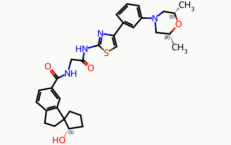 C[C@@H]1CN(c2cccc(-c3csc(NC(=O)CNC(=O)c4ccc5c(c4)C4(CCC[C@@H]4O)CC5)n3)c2)C[C@H](C)O1